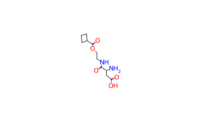 NC(CC(=O)O)C(=O)NCCOC(=O)C1CCC1